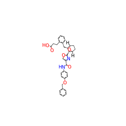 O=C(O)CCc1ccccc1C[C@@H]1[C@H](c2nc(C(=O)Nc3ccc(OCc4ccccc4)cc3)co2)[C@H]2CC[C@@H]1O2